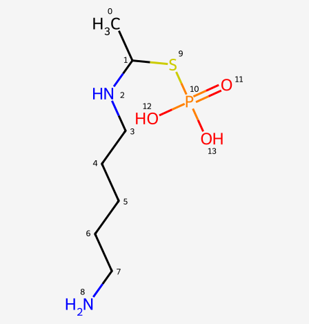 CC(NCCCCCN)SP(=O)(O)O